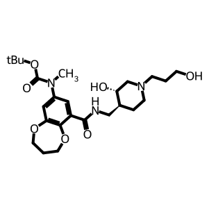 CN(C(=O)OC(C)(C)C)c1cc2c(c(C(=O)NC[C@@H]3CCN(CCCO)C[C@H]3O)c1)OCCCO2